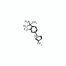 [CH2]C(C)(N)c1ccc([SH]2C=CC(C(F)(F)F)=C2)cc1C(F)(F)F